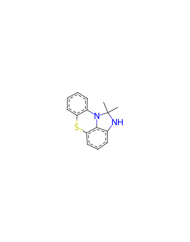 CC1(C)Nc2cccc3c2N1c1ccccc1S3